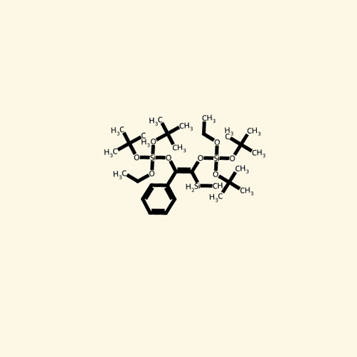 CCO[Si](OC([SiH2]C)=C(O[Si](OCC)(OC(C)(C)C)OC(C)(C)C)c1ccccc1)(OC(C)(C)C)OC(C)(C)C